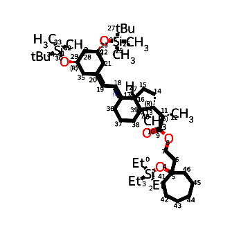 CC[Si](CC)(CC)OC1(CCOC(=O)[C@@H](C)[C@H]2CC[C@H]3/C(=C/C=C4C[C@@H](O[Si](C)(C)C(C)(C)C)C[C@H](O[Si](C)(C)C(C)(C)C)C4)CCC[C@]23C)CCCCCC1